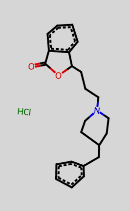 Cl.O=C1OC(CCCN2CCC(Cc3ccccc3)CC2)c2ccccc21